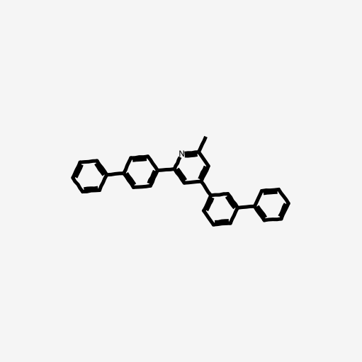 Cc1cc(-c2cccc(-c3ccccc3)c2)cc(-c2ccc(-c3ccccc3)cc2)n1